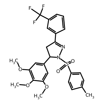 COc1cc(C2CC(c3cccc(C(F)(F)F)c3)=NN2S(=O)(=O)c2ccc(C)cc2)cc(OC)c1OC